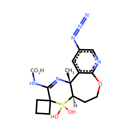 C[C@]12N=C(NC(=O)O)C3(CCC3)S(O)(O)[C@@H]1CCOc1ncc(N=[N+]=[N-])cc12